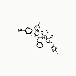 Cc1nc(CN2CCN([C@H](C(=O)N[C@@H](Cc3ccccc3)[C@@H](O)CN(CC(C)C)S(=O)(=O)c3ccc(C#N)cc3)C(C)C)C2=O)cs1